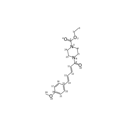 CCOC(=O)N1CCN(C(=O)/C=C/C=C/c2ccc(OC)cc2)CC1